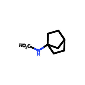 O=C(O)NC12CCC(CC1)C2